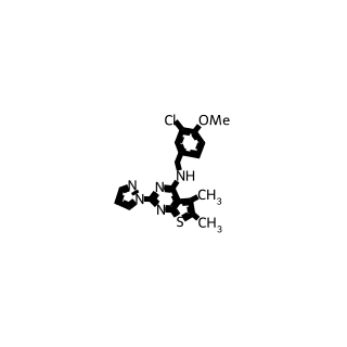 COc1ccc(CNc2nc(-n3cccn3)nc3sc(C)c(C)c23)cc1Cl